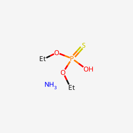 CCOP(O)(=S)OCC.N